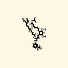 CC[C@H](CCCC(=O)NCCC(=O)O[C@H](/C=C/[C@@H]1[C@@H](C/C=C\CCCC(=O)OC(C)C)[C@@H](O)C[C@H]1O)COc1cccc(C(F)(F)F)c1)O[N+](=O)[O-]